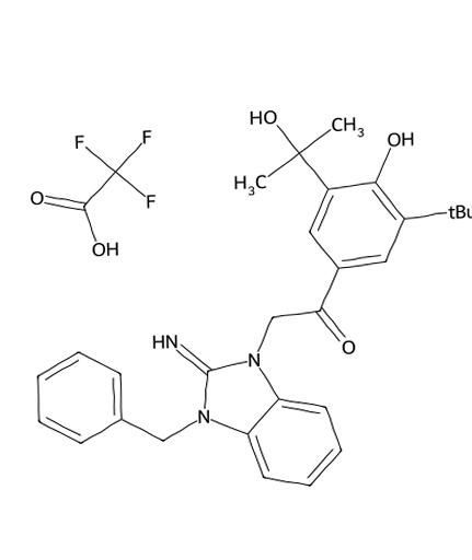 CC(C)(C)c1cc(C(=O)Cn2c(=N)n(Cc3ccccc3)c3ccccc32)cc(C(C)(C)O)c1O.O=C(O)C(F)(F)F